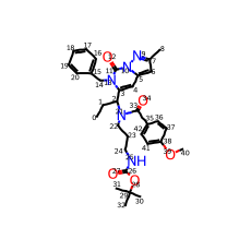 CCC(c1cc2cc(C)nn2c(=O)n1Cc1ccccc1)N(CCCNC(=O)OC(C)(C)C)C(=O)c1ccc(OC)cc1